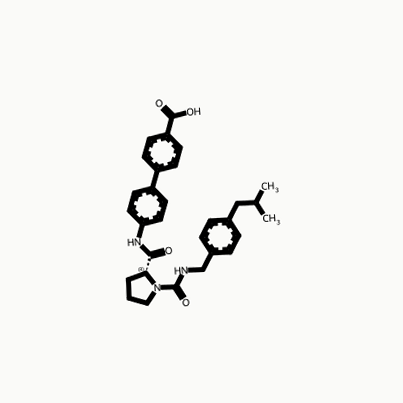 CC(C)Cc1ccc(CNC(=O)N2CCC[C@@H]2C(=O)Nc2ccc(-c3ccc(C(=O)O)cc3)cc2)cc1